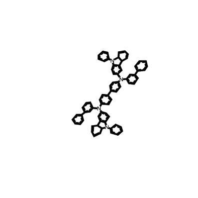 C1=CC2c3cc(N(c4ccc(-c5ccc(N(c6cccc(-c7ccccc7)c6)c6ccc7c(c6)C6C=CC=CC6N7c6ccccc6)cc5)cc4)c4cccc(-c5ccccc5)c4)ccc3N(c3ccccc3)C2C=C1